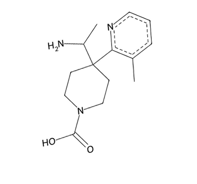 Cc1cccnc1C1(C(C)N)CCN(C(=O)O)CC1